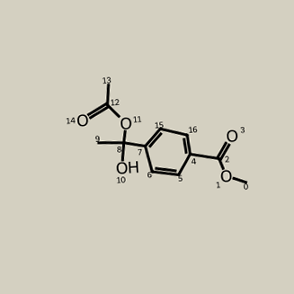 COC(=O)c1ccc(C(C)(O)OC(C)=O)cc1